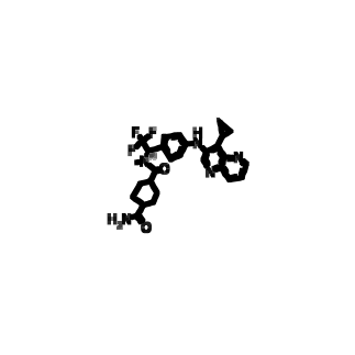 CN(C(=O)C1CCC(C(N)=O)CC1)[C@H](c1ccc(Nc2cnc3cccnc3c2C2CC2)cc1)C(F)(F)F